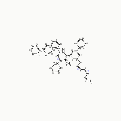 C=C/C=C\C=C/Cc1cc(CNC(/N=C(\N=C)c2ccccc2)c2cccc3cc(-c4ccccc4)ccc23)cc(-c2ccccc2)c1